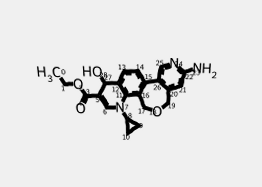 CCOC(=O)C1=CN(C2CC2)c2c(ccc3c2COCc2cc(N)ncc2-3)C1O